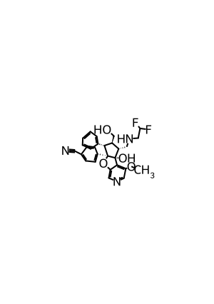 COc1cncc2c1[C@]1(O)[C@@H](CNCC(F)F)[C@H](CO)[C@@H](c3ccccc3)[C@]1(c1ccc(C#N)cc1)O2